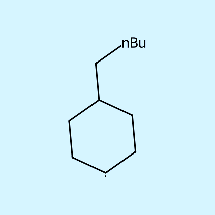 CCCCCC1CC[CH]CC1